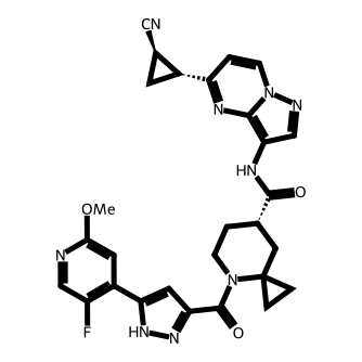 COc1cc(-c2cc(C(=O)N3CC[C@H](C(=O)Nc4cnn5ccc([C@@H]6C[C@H]6C#N)nc45)CC34CC4)n[nH]2)c(F)cn1